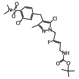 Cc1nn(C/C(F)=C/CNC(=O)OC(C)(C)C)c(Cl)c1Cc1ccc(S(=O)(=O)N(C)C)c(Cl)c1